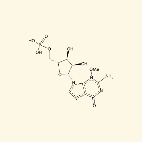 COn1c(N)nc(=O)c2ncn([C@@H]3O[C@H](COP(=O)(O)O)[C@@H](O)[C@H]3O)c21